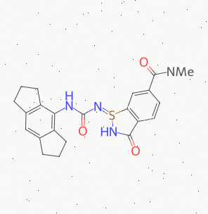 CNC(=O)c1ccc2c(c1)/S(=N/C(=O)Nc1c3c(cc4c1CCC4)CCC3)NC2=O